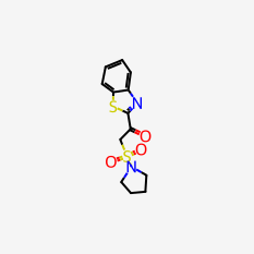 O=C(CS(=O)(=O)N1CCCC1)c1nc2ccccc2s1